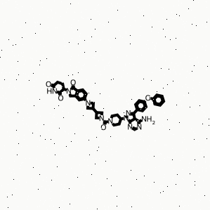 NC1=NC=NC2C1C(c1ccc(Oc3ccccc3)cc1)=NN2C1CCN(C(=O)N2CC(C3CN(c4ccc5c(c4)CN(C4CCC(=O)NC4=O)C5=O)C3)C2)CC1